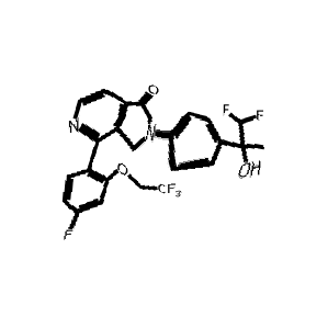 CC(O)(c1ccc(N2Cc3c(ccnc3-c3ccc(F)cc3OCC(F)(F)F)C2=O)cc1)C(F)F